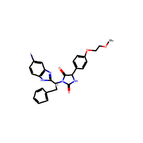 CC(C)(C)OCCOc1ccc(C2NC(=O)N([C@@H](Cc3ccccc3)c3nc4cc(I)ccc4[nH]3)C2=O)cc1